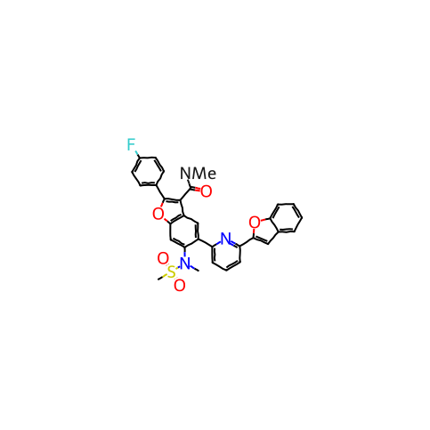 CNC(=O)c1c(-c2ccc(F)cc2)oc2cc(N(C)S(C)(=O)=O)c(-c3cccc(-c4cc5ccccc5o4)n3)cc12